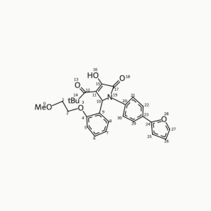 COCCOc1ccccc1C1C(C(=O)C(C)(C)C)=C(O)C(=O)N1c1ccc(-c2ccco2)cc1